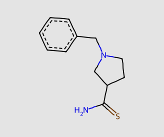 NC(=S)C1CCN(Cc2ccccc2)C1